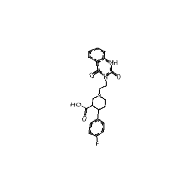 O=C(O)C1CN(CCn2c(=O)[nH]c3ccccc3c2=O)CCC1c1ccc(F)cc1